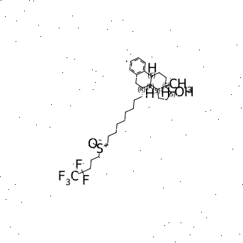 C[C@]12CC[C@@H]3c4cc[c]cc4C[C@@H](CCCCCCCCC[S+]([O-])CCCC(F)(F)C(F)(F)F)[C@H]3[C@@H]1CC[C@@H]2O